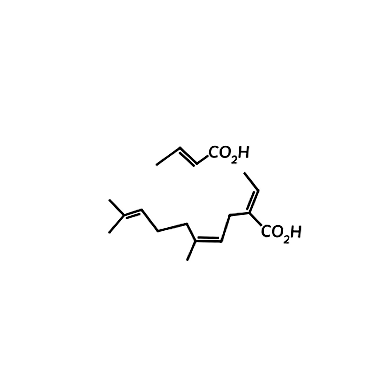 C/C=C(\CC=C(C)CCC=C(C)C)C(=O)O.C/C=C/C(=O)O